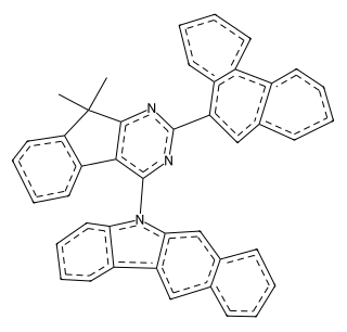 CC1(C)c2ccccc2-c2c(-n3c4ccccc4c4cc5ccccc5cc43)nc(-c3cc4ccccc4c4ccccc34)nc21